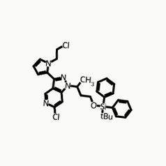 CC(CCO[Si](c1ccccc1)(c1ccccc1)C(C)(C)C)n1nc(-c2cccn2CCCl)c2cnc(Cl)cc21